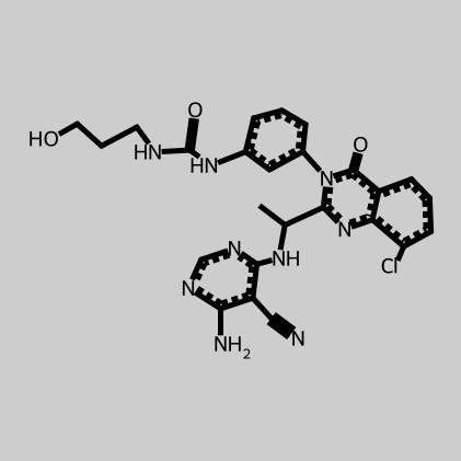 CC(Nc1ncnc(N)c1C#N)c1nc2c(Cl)cccc2c(=O)n1-c1cccc(NC(=O)NCCCO)c1